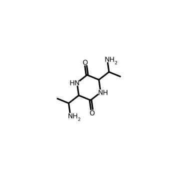 CC(N)C1NC(=O)C(C(C)N)NC1=O